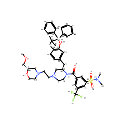 COC[C@@H]1CN(CCN2CCN(C(=O)c3cc(C(F)(F)F)cc(S(=O)(=O)N(C)C)c3)[C@H](Cc3ccc(C)c(O[Si](c4ccccc4)(c4ccccc4)C(C)(C)C)c3)C2)CCO1